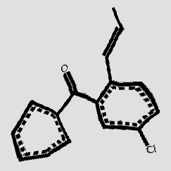 CC=Cc1ccc(Cl)cc1C(=O)c1ccccc1